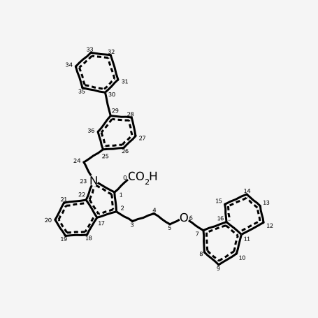 O=C(O)c1c(CCCOc2cccc3ccccc23)c2ccccc2n1Cc1cccc(-c2ccccc2)c1